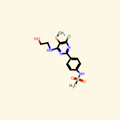 CSc1c(Cl)nc(-c2ccc(NS(C)(=O)=O)cc2)nc1NCCO